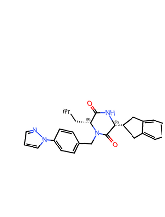 CC(C)C[C@@H]1C(=O)N[C@H](C2Cc3ccccc3C2)C(=O)N1Cc1ccc(-n2cccn2)cc1